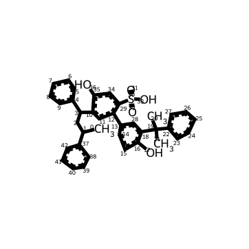 CC(CC(c1ccccc1)c1cc(-c2ccc(O)c(C(C)(C)c3ccccc3)c2)c(S(=O)(=O)O)cc1O)c1ccccc1